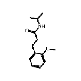 COc1ccccc1CCC(=O)NC(C)C